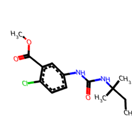 CCC(C)(C)NC(=O)Nc1ccc(Cl)c(C(=O)OC)c1